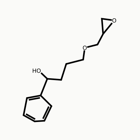 OC(CCCOCC1CO1)c1ccccc1